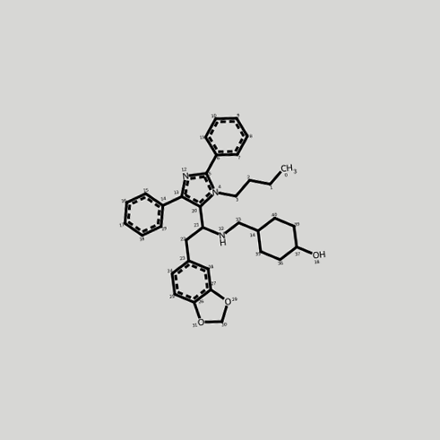 CCCCn1c(-c2ccccc2)nc(-c2ccccc2)c1C(Cc1ccc2c(c1)OCO2)NCC1CCC(O)CC1